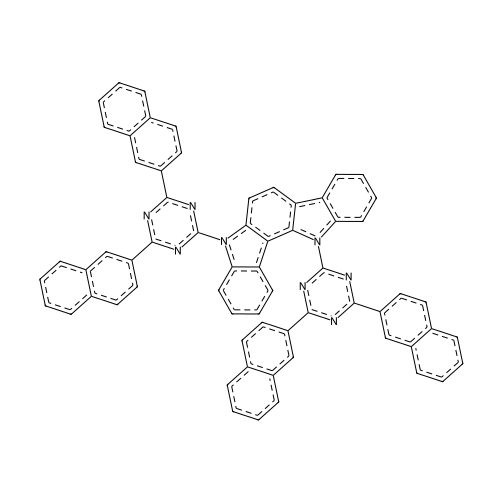 c1ccc2cc(-c3nc(-c4ccc5ccccc5c4)nc(-n4c5ccccc5c5c4ccc4c6ccccc6n(-c6nc(-c7ccc8ccccc8c7)nc(-c7ccc8ccccc8c7)n6)c45)n3)ccc2c1